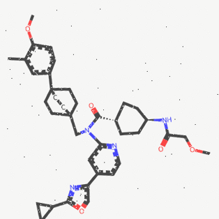 COCC(=O)N[C@H]1CC[C@H](C(=O)N(CC23CCC(c4ccc(OC)c(C)c4)(CC2)CC3)c2cc(-c3coc(C4CC4)n3)ccn2)CC1